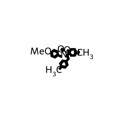 COc1ccc(CN2C(=O)OC3(CCN(C)CC3)C2Cc2ccc(C)cc2)cc1